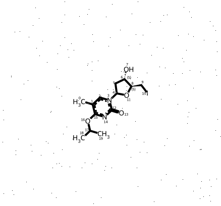 Cc1cn(C2C[C@H](O)[C@@H](CI)O2)c(=O)nc1OC(C)C